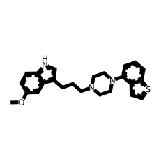 COc1ccc2[nH]cc(CCCN3CCN(c4cccc5sccc45)CC3)c2c1